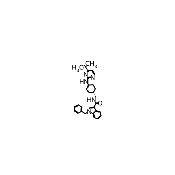 CN(C)c1ccnc(N[C@H]2CC[C@@H](CNC(=O)c3cn(Cc4ccccc4)c4ccccc34)CC2)n1